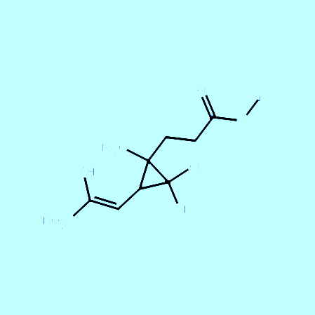 C/C(=C\C1C(C)(C)C1(CCC(=O)OC(C)C)C(=O)O)C(=O)O